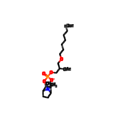 CCCCCCCCCCCCCCCCOCC(COP(=O)([O-])OC1CC2CCC1[N+]2(C)C)OC(C)=O